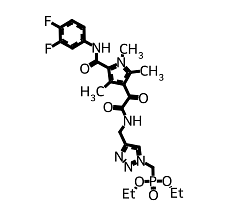 CCOP(=O)(Cn1cc(CNC(=O)C(=O)c2c(C)c(C(=O)Nc3ccc(F)c(F)c3)n(C)c2C)nn1)OCC